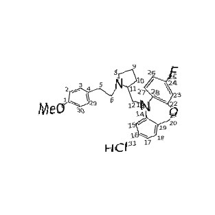 COc1ccc(CCN2CCCC2CN2c3ccccc3COc3cc(F)ccc32)cc1.Cl